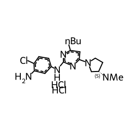 CCCCc1cc(N2CC[C@H](NC)C2)nc(Nc2ccc(Cl)c(N)c2)n1.Cl.Cl